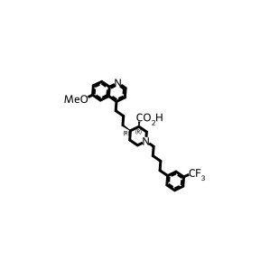 COc1ccc2nccc(CCC[C@@H]3CCN(CCCCc4cccc(C(F)(F)F)c4)C[C@@H]3C(=O)O)c2c1